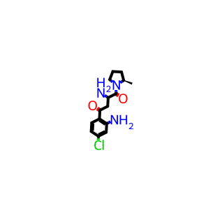 C[C@@H]1CCCN1C(=O)C(N)CC(=O)c1ccc(Cl)cc1N